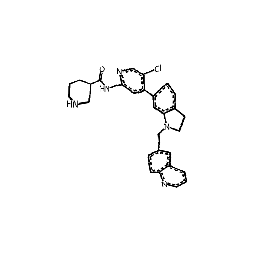 O=C(Nc1cc(-c2ccc3c(c2)N(Cc2ccc4ncccc4c2)CC3)c(Cl)cn1)C1CCCNC1